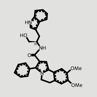 COc1cc2c(cc1OC)-c1cc(C(=O)N[C@@H](CO)Cc3c[nH]c4ccccc34)c(-c3ccccc3)n1CC2